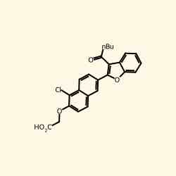 CCCCC(=O)c1c(-c2ccc3c(Cl)c(OCC(=O)O)ccc3c2)oc2ccccc12